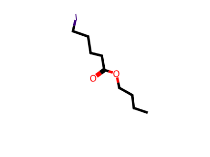 CCCCOC(=O)CCCCI